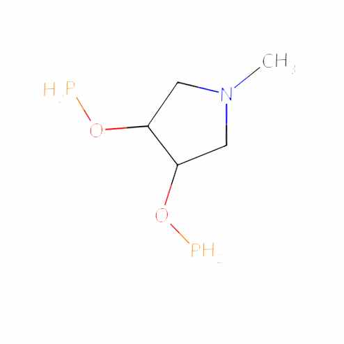 CN1CC(OP)C(OP)C1